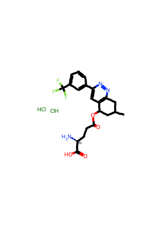 CC1Cc2nnc(-c3cccc(C(F)(F)F)c3)cc2C(OC(=O)CC[C@H](N)C(=O)O)C1.Cl.Cl